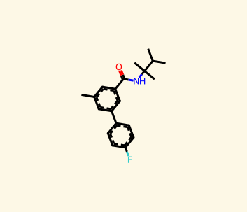 Cc1cc(C(=O)NC(C)(C)C(C)C)cc(-c2ccc(F)cc2)c1